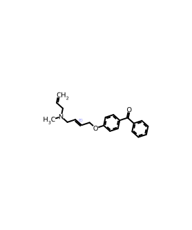 C=CCN(C)C/C=C/COc1ccc(C(=O)c2ccccc2)cc1